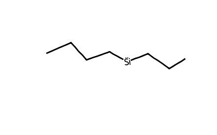 CCCC[Si]CCC